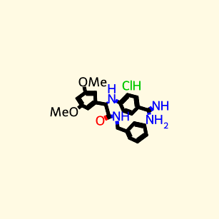 COc1cc(OC)cc([C@@H](Nc2ccc(C(=N)N)cc2)C(=O)NCc2ccccc2)c1.Cl